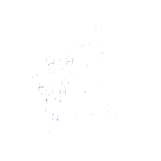 CN1CCC(OC(c2ccc(F)cc2)c2ccc(F)cc2)CC1.O=C(O)/C=C/C(=O)O